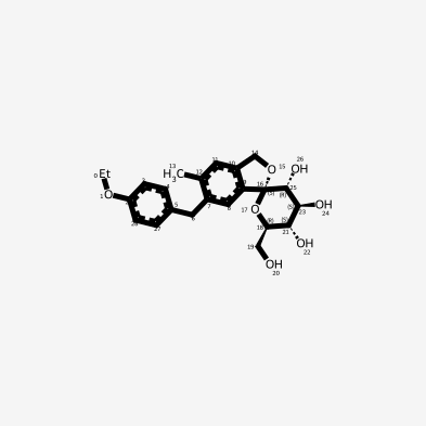 CCOc1ccc(Cc2cc3c(cc2C)CO[C@]32O[C@H](CO)[C@@H](O)[C@H](O)[C@H]2O)cc1